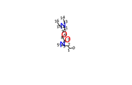 CCCCN(C)C(=O)COCCN(CC)CC